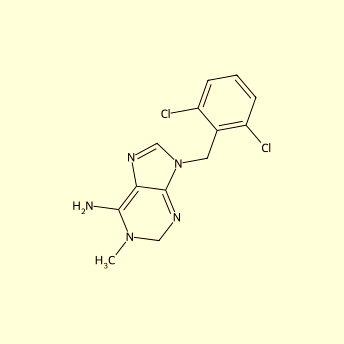 CN1CN=c2c(ncn2Cc2c(Cl)cccc2Cl)=C1N